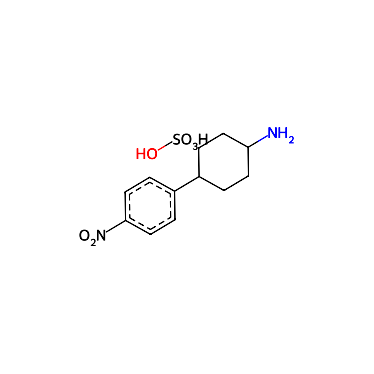 NC1CCC(c2ccc([N+](=O)[O-])cc2)CC1.O=S(=O)(O)O